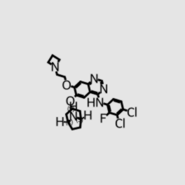 Fc1c(Nc2ncnc3cc(OCCN4CCC4)c(O[C@@H]4C[C@H]5CC[C@@H](C4)N5)cc23)ccc(Cl)c1Cl